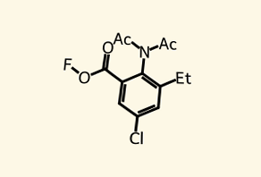 CCc1cc(Cl)cc(C(=O)OF)c1N(C(C)=O)C(C)=O